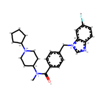 CN(C(=O)c1ccc(Cn2cnc3ccc(F)cc32)cc1)C1CCN(C2CCCC2)CC1